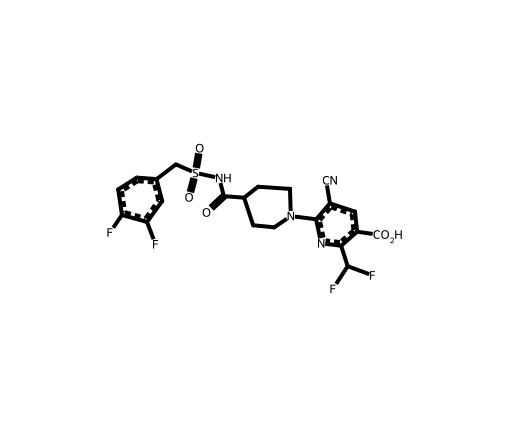 N#Cc1cc(C(=O)O)c(C(F)F)nc1N1CCC(C(=O)NS(=O)(=O)Cc2ccc(F)c(F)c2)CC1